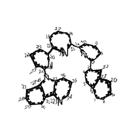 c1cc(-c2ccc3ccccc3c2)nc(-c2cccc(-c3cccc(-n4c5ccccc5c5ncccc54)n3)n2)c1